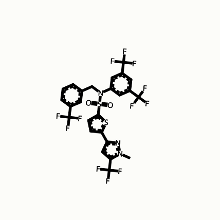 Cn1nc(-c2ccc(S(=O)(=O)N(Cc3cccc(C(F)(F)F)c3)c3cc(C(F)(F)F)cc(C(F)(F)F)c3)s2)cc1C(F)(F)F